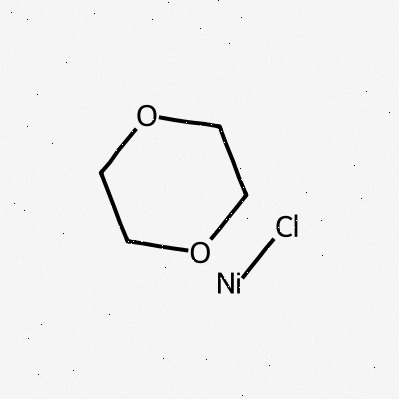 C1COCCO1.[Cl][Ni]